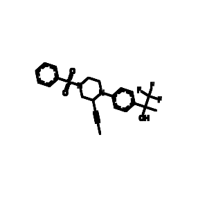 CC#CC1CN(S(=O)(=O)c2ccccc2)CCN1c1ccc(C(C)(O)C(F)(F)F)cc1